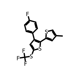 Cc1csc(-c2sc(SC(F)(F)F)cc2-c2ccc(F)cc2)c1